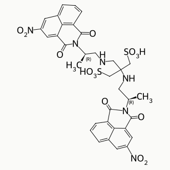 C[C@H](CNCC(CS(=O)(=O)O)(CS(=O)(=O)O)NC[C@@H](C)N1C(=O)c2cccc3cc([N+](=O)[O-])cc(c23)C1=O)N1C(=O)c2cccc3cc([N+](=O)[O-])cc(c23)C1=O